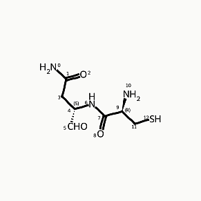 NC(=O)C[C@@H](C=O)NC(=O)[C@@H](N)CS